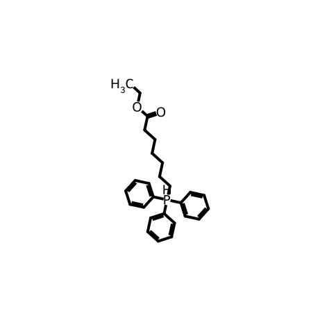 CCOC(=O)CCCCCC[PH](c1ccccc1)(c1ccccc1)c1ccccc1